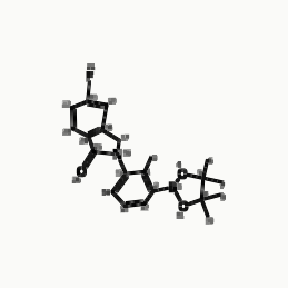 Cc1c(B2OC(C)(C)C(C)(C)O2)cccc1N1Cc2cc(F)ccc2C1=O